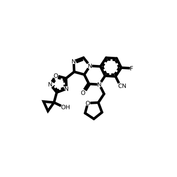 N#Cc1c(F)ccc2c1N(CC1CCCO1)C(=O)C1C(c3nc(C4(O)CC4)no3)N=CN21